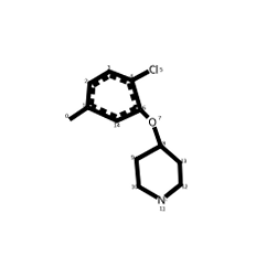 Cc1ccc(Cl)c(OC2CC[N]CC2)c1